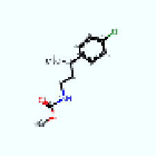 CO[C@H](CCNC(=O)OC(C)(C)C)c1ccc(Cl)cc1